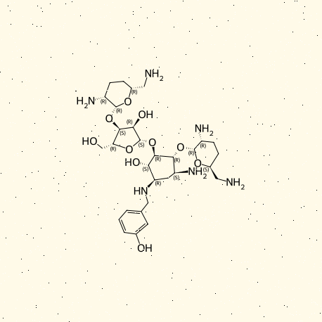 NC[C@@H]1CC[C@@H](N)[C@@H](O[C@H]2[C@H](O[C@@H]3O[C@H](CO)[C@@H](O[C@H]4O[C@@H](CN)CC[C@H]4N)[C@H]3O)[C@@H](O)[C@H](NCc3cccc(O)c3)C[C@@H]2N)O1